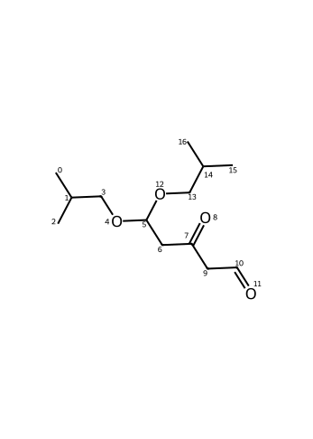 CC(C)COC(CC(=O)CC=O)OCC(C)C